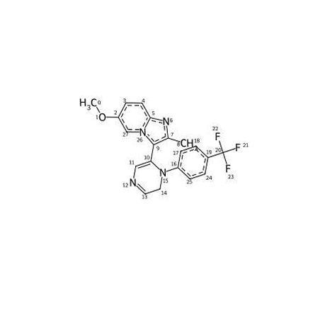 COc1ccc2nc(C)c(C3=CN=CCN3c3ccc(C(F)(F)F)cc3)n2c1